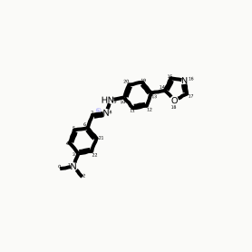 CN(C)c1ccc(/C=N/Nc2ccc(-c3cnco3)cc2)cc1